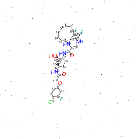 O=C(COc1ccc(Cl)c(F)c1)NC12CCC(NC(=O)C3CNC(C(F)F)C4(CCCCCCCCC4)N3)(CC1)C(O)C2